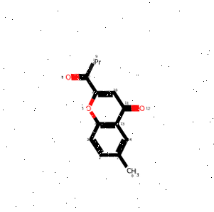 Cc1ccc2oc(C(=O)C(C)C)cc(=O)c2c1